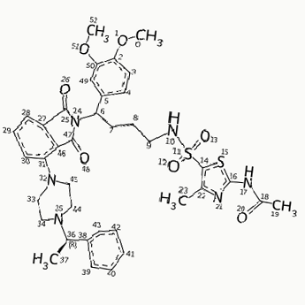 COc1ccc(C(CCCNS(=O)(=O)c2sc(NC(C)=O)nc2C)N2C(=O)c3cccc(N4CCN([C@H](C)c5ccccc5)CC4)c3C2=O)cc1OC